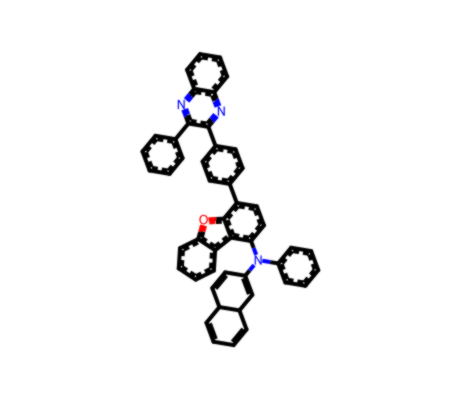 C1=CC2C=CC(N(c3ccccc3)c3ccc(-c4ccc(-c5nc6ccccc6nc5-c5ccccc5)cc4)c4oc5ccccc5c34)=CC2C=C1